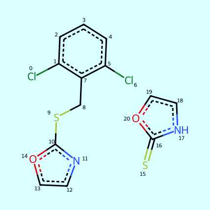 Clc1cccc(Cl)c1CSc1ncco1.S=c1[nH]cco1